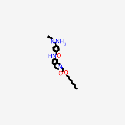 C#CCN=C(N)c1ccc(C(=O)Nc2ccc3c(c2)CN(CC(=O)OCCCCCCCC)CC3)cc1